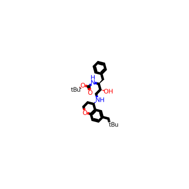 CC(C)(C)Cc1ccc2c(c1)[C@@H](NC[C@@H](O)[C@H](Cc1ccccc1)NC(=O)OC(C)(C)C)CCO2